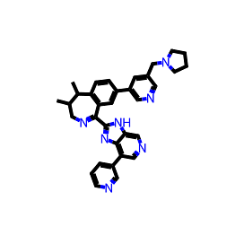 CC1CN=C(c2nc3c(-c4cccnc4)cncc3[nH]2)c2cc(-c3cncc(CN4CCCC4)c3)ccc2C1C